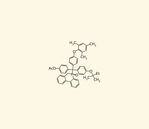 CCC(C)(C)Oc1ccc(C(c2ccc(OC(C)=O)cc2)(c2ccc(Oc3c(C)cc(C)cc3C)cc2)P2(=O)Cc3ccccc3-c3ccccc32)cc1